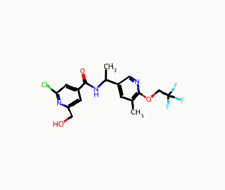 Cc1cc(C(C)NC(=O)c2cc(Cl)nc(CO)c2)cnc1OCC(F)(F)F